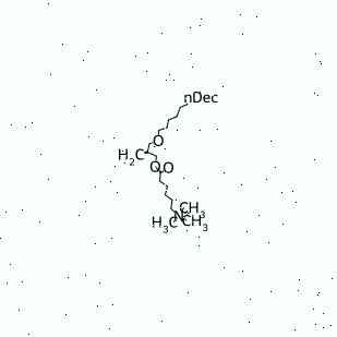 C=C(COCCCCCCCCCCCCCCCC)COC(=O)CCCCC[N+](C)(C)C